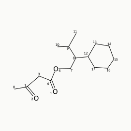 CC(=O)CC(=O)OCC(C(C)C)C1CCCCC1